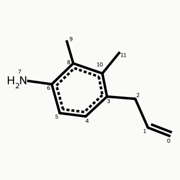 C=CCc1ccc(N)c(C)c1C